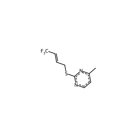 Cc1ccnc(SCC=CC(F)(F)F)n1